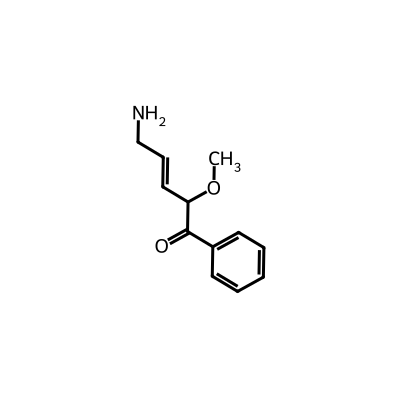 COC(C=CCN)C(=O)c1ccccc1